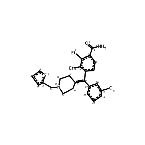 CCc1c(C(N)=O)ccc(C(=C2CCN(Cc3cccs3)CC2)c2cccc(O)c2)c1CC